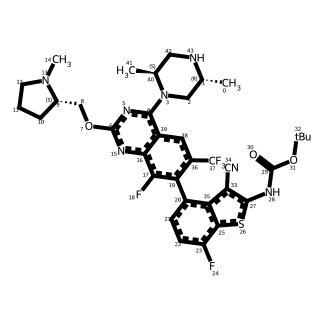 C[C@@H]1CN(c2nc(OC[C@@H]3CCCN3C)nc3c(F)c(-c4ccc(F)c5sc(NC(=O)OC(C)(C)C)c(C#N)c45)c(C(F)(F)F)cc23)[C@@H](C)CN1